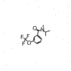 CC(C)N(C)C(=O)c1cccc(OC(F)(F)F)c1